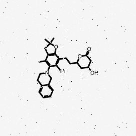 Cc1c2c(c(CCC3CC(O)CC(=O)O3)c(C(C)C)c1N1CCc3ccccc3C1)OC(C)(C)C2